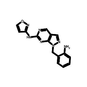 Nc1ccccc1Cn1ncc2cnc(Nc3ccon3)nc21